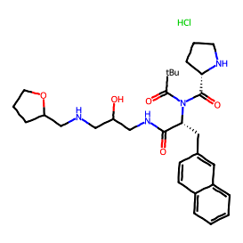 CC(C)(C)C(=O)N(C(=O)[C@@H]1CCCN1)[C@H](Cc1ccc2ccccc2c1)C(=O)NCC(O)CNCC1CCCO1.Cl